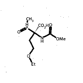 CCOCC[C@@](NC(=O)OC)(C(=O)O)[PH](C)=O